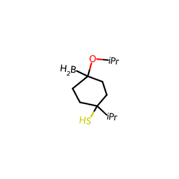 BC1(OC(C)C)CCC(S)(C(C)C)CC1